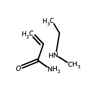 C=CC(N)=O.CCNC